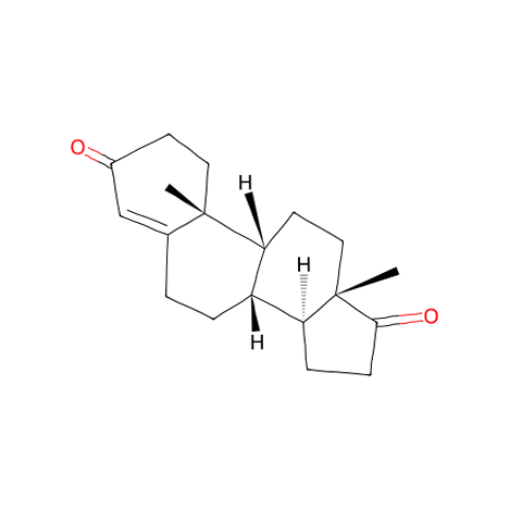 C[C@]12CCC(=O)C=C1CC[C@@H]1[C@H]2CC[C@]2(C)C(=O)CC[C@@H]12